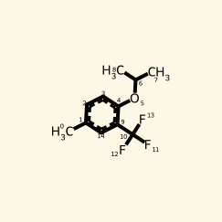 Cc1ccc(OC(C)C)c(C(F)(F)F)c1